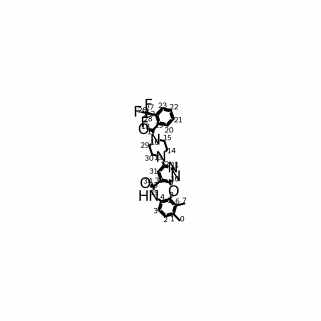 Cc1ccc2c(c1C)Oc1nnc(N3CCN(C(=O)c4ccccc4C(F)(F)F)CC3)cc1C(=O)N2